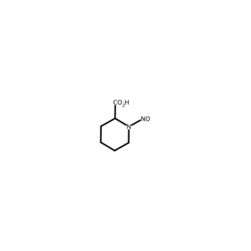 O=NN1CCCCC1C(=O)O